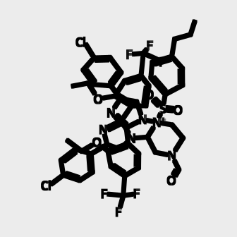 CCCc1ccc(S(=O)(=O)[N+]2(N3CC(c4ccc(Cl)cc4)N=C3c3ccc(C(F)(F)F)cc3OCC)CCN(C=O)CC2N2CC(c3ccc(Cl)cc3)N=C2c2ccc(C(F)(F)F)cc2OCC)cc1